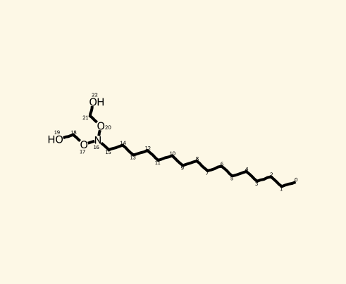 CCCCCCCCCCCCCCCCN(OCO)OCO